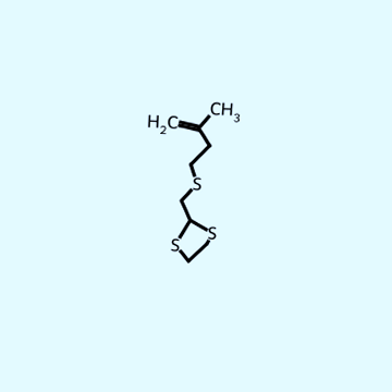 C=C(C)CCSCC1SCCS1